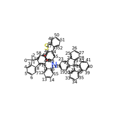 CC1(C)c2ccccc2-c2c(-c3ccccc3N(c3ccc4c(c3)-c3ccccc3C4(c3ccccc3)c3ccccc3)c3ccc4sc5ccccc5c4c3)cccc21